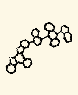 C1=CC2C=CC=C(c3c4ccccc4c(-c4ccc(-c5ccc6sc7c8oc9ccccc9c8c8ccccc8c7c6c5)c5ccccc45)c4ccccc34)C2C=C1